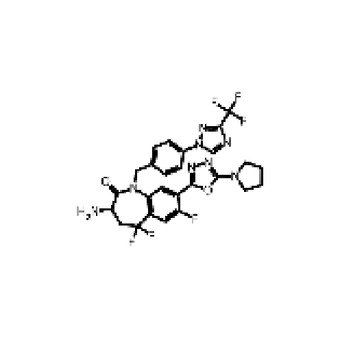 N[C@@H]1CC(F)(F)c2cc(F)c(-c3nnc(N4CCCC4)o3)cc2N(Cc2ccc(-n3cnc(C(F)(F)F)n3)cc2)C1=O